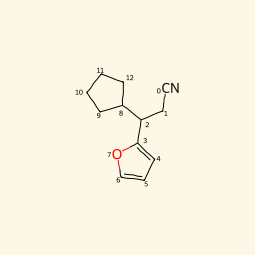 N#CCC(c1ccco1)C1CCCC1